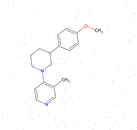 COc1ccc(C2CCCN(c3ccncc3C)C2)cc1